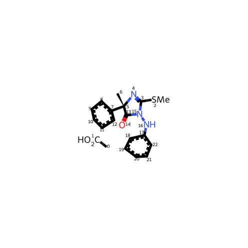 CC(=O)O.CSC1=N[C@@](C)(c2ccccc2)C(=O)N1Nc1ccccc1